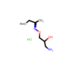 COCC(C)=NOCC(O)CN.Cl